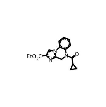 CCOC(=O)c1cn2c(n1)CN(C(=O)C1CC1)c1ccccc1-2